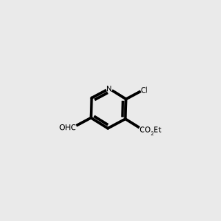 CCOC(=O)c1cc(C=O)cnc1Cl